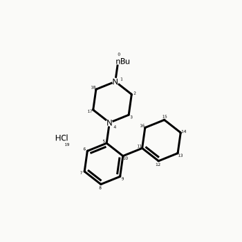 CCCCN1CCN(c2ccccc2C2=CCCCC2)CC1.Cl